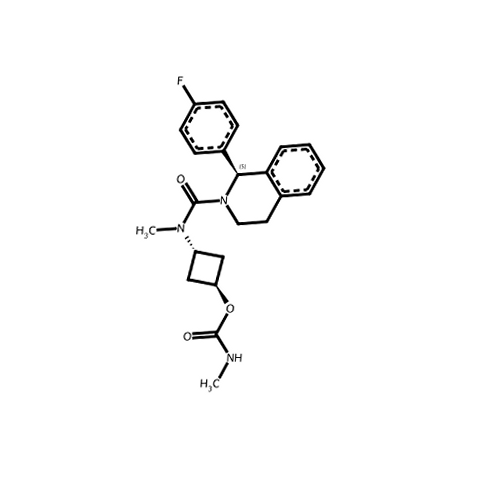 CNC(=O)O[C@H]1C[C@H](N(C)C(=O)N2CCc3ccccc3[C@@H]2c2ccc(F)cc2)C1